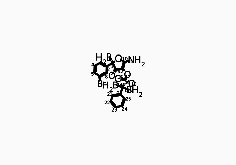 BC1(c2cccc(Br)c2)OC(N)=C(OS(=O)(=O)C(B)(B)c2ccccc2)C1=O